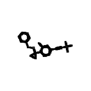 Cc1cc(C#C[Si](C)(C)C)ccc1C1(OCc2ccccc2)CC1